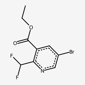 CCOC(=O)c1cc(Br)cnc1C(F)F